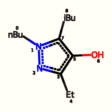 CCCCn1nc(CC)c(O)c1C(C)CC